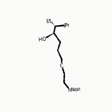 CCCCCCCCCCCCCCC[C@@H](O)[C@H](CC)C(C)C